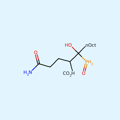 CCCCCCCCC(O)([PH2]=O)C(CCC(N)=O)C(=O)O